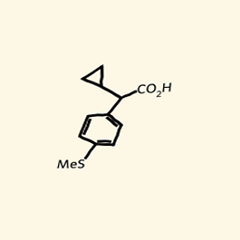 CSc1ccc(C(C(=O)O)C2CC2)cc1